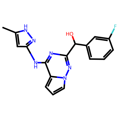 Cc1cc(Nc2nc(C(O)c3cccc(F)c3)nn3cccc23)n[nH]1